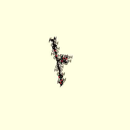 N#CC1CC(F)(F)CN1C(=O)CNC(=O)c1ccnc2c(NC(=O)CCC(=O)NCCNC(=O)CCOCC(COCCC(=O)NCCNC(=O)CCC(=O)Nc3cccc4c(C(=O)NCC(=O)N5CC(F)(F)C[C@H]5C#N)ccnc34)NC(=O)CCC(C(=O)O)N3CCN(CC(=O)O)CN(CC(=O)O)CN(CC(=O)O)C3)cccc12